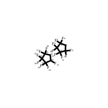 FC1(F)CC(F)(F)C(F)(F)C1(F)F.FC1CC(F)(F)C(F)(F)C1(F)F